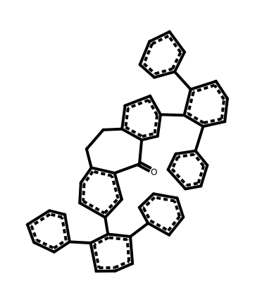 O=C1c2cc(-c3c(-c4ccccc4)cccc3-c3ccccc3)ccc2CCc2ccc(-c3c(-c4ccccc4)cccc3-c3ccccc3)cc21